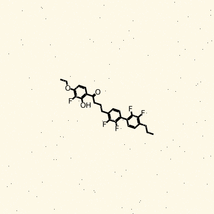 CCCc1ccc(-c2ccc(CCCC(=O)c3ccc(OCC)c(F)c3O)c(F)c2F)c(F)c1F